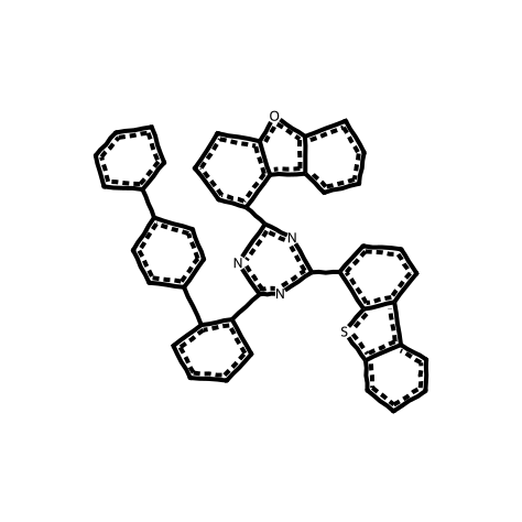 c1ccc(-c2ccc(-c3ccccc3-c3nc(-c4cccc5c4sc4ccccc45)nc(-c4cccc5oc6ccccc6c45)n3)cc2)cc1